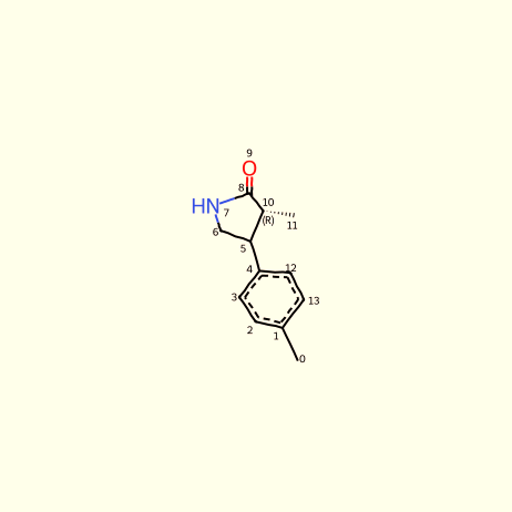 Cc1ccc(C2CNC(=O)[C@@H]2C)cc1